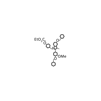 CCOC(=O)COc1ccc(Cn2c(-c3ccc(OCc4ccccc4)c(OC)c3)c(C)c3cc(OCc4ccccc4)ccc32)cc1